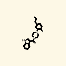 C[CH]Cc1ccc(F)c(N2CCN(C(=O)c3c[nH]c4ccccc34)CC2)c1